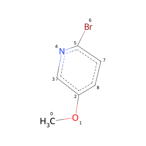 COc1[c]nc(Br)cc1